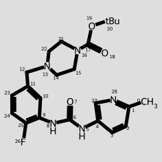 Cc1ccc(NC(=O)Nc2cc(CN3CCN(C(=O)OC(C)(C)C)CC3)ccc2F)cn1